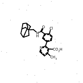 Cc1ccnc(-c2ccc(Cl)c(C(=O)NCC34CC5CC(CC(C5)C3)C4)c2)c1C(=O)O